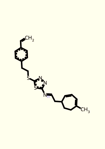 C=Cc1ccc(CCSc2nnc(/N=C/CC3C=CC=C(C)CC3)s2)cc1